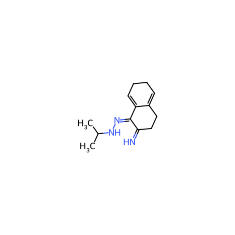 CC(C)N/N=C1\C(=N)CCC2=CCCC=C21